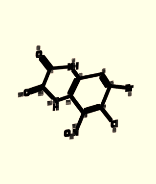 O=c1[nH]c2cc(Br)c(Cl)c([N+](=O)[O-])c2[nH]c1=O